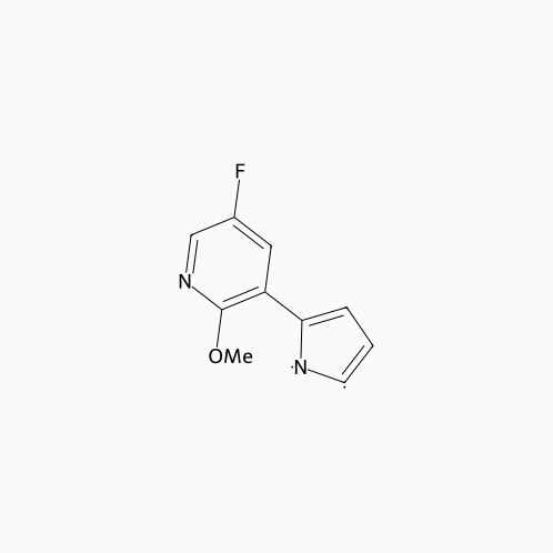 COc1ncc(F)cc1C1=CC=[C][N]1